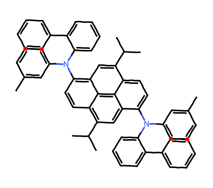 Cc1cccc(N(c2ccccc2-c2ccccc2)c2ccc3c(C(C)C)cc4c(N(c5cccc(C)c5)c5ccccc5-c5ccccc5)ccc5c(C(C)C)cc2c3c54)c1